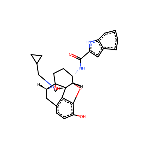 O=C(N[C@H]1CC[C@@]2(O)[C@H]3Cc4ccc(O)c5c4[C@@]2(CCN3CC2CC2)[C@H]1O5)c1cc2ccccc2[nH]1